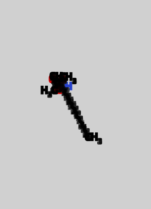 CCC=CCC=CCC=CCC=CCC=CCC=CCCC(=O)Nc1c(OC)cc(OC)cc1OC